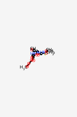 COCCOCCCOC(=O)c1cc2cc(NC(=O)[C@H]3[C@@H]([C@H]4CC[C@H](OC)CC4)CCN3C(=O)[C@H]3CC[C@H]([C@@H](CF)NC(=O)OC(C)(C)C)CC3)ccc2o1